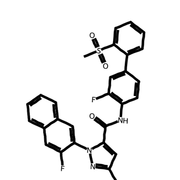 Cc1cc(C(=O)Nc2ccc(-c3ccccc3S(C)(=O)=O)cc2F)n(-c2cc3ccccc3cc2F)n1